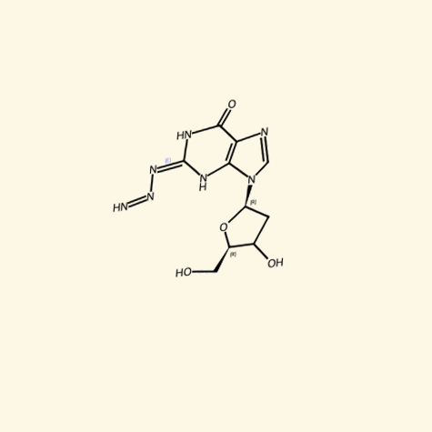 N=N/N=c1/[nH]c(=O)c2ncn([C@H]3CC(O)[C@@H](CO)O3)c2[nH]1